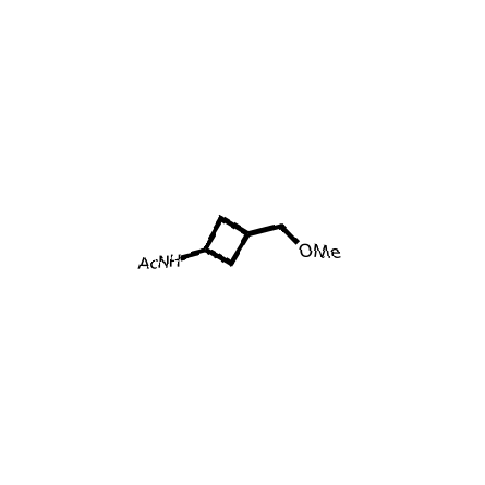 COCC1CC(NC(C)=O)C1